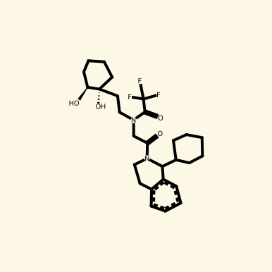 O=C(CN(CC[C@]1(O)CCCC[C@@H]1O)C(=O)C(F)(F)F)N1CCc2ccccc2C1C1CCCCC1